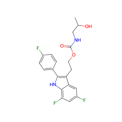 CC(O)CNC(=O)OCCc1c(-c2ccc(F)cc2)[nH]c2c(F)cc(F)cc12